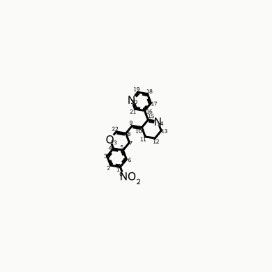 O=[N+]([O-])c1ccc2c(c1)CC(C=C1CCCN=C1c1cccnc1)=CO2